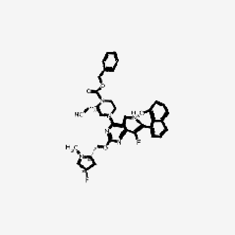 Cc1cccc2cccc(-c3ncc4c(N5CCN(C(=O)OCc6ccccc6)[C@@H](CC#N)C5)nc(OC[C@@H]5C[C@@H](F)CN5C)nc4c3F)c12